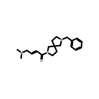 CN(C)C/C=C/C(=O)N1CCC2(CCN(Cc3ccccc3)C2)C1